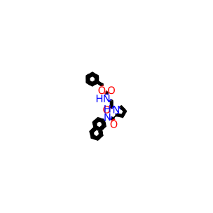 O=C(NCC(=O)N1CCC[C@H]1C(=O)Nc1ccc2ccccc2c1)OCc1ccccc1